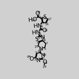 COc1cc(N2CCc3nc(NC(=O)Nc4ccsc4C(=O)O)sc3C2)nc(OC)n1